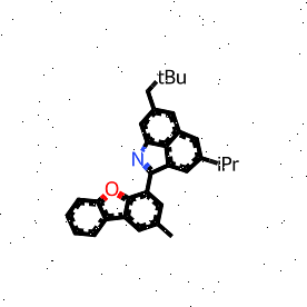 Cc1cc(C2=Nc3cc(CC(C)(C)C)cc4cc(C(C)C)cc2c34)c2oc3ccccc3c2c1